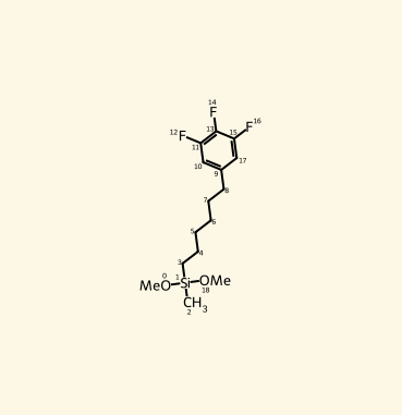 CO[Si](C)(CCCCCCc1cc(F)c(F)c(F)c1)OC